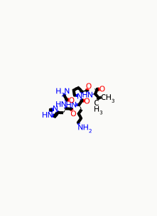 CC(C)[C@@H]([C]=O)NC(=O)[C@@H]1CCCN1C(=O)[C@H](CCCCN)NC(=O)[C@H](Cc1c[nH]cn1)NC(=O)CN